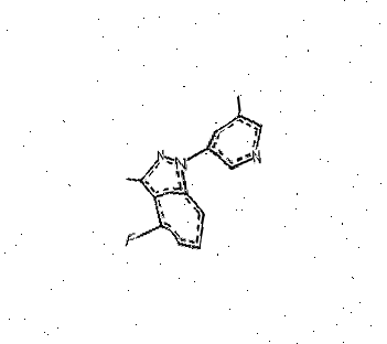 Cc1cncc(-n2nc(C)c3c(F)cccc32)c1